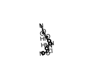 CN(C)CCCOC(=O)C=CC(=O)Nc1ccc2ncnc(Nc3ccc(C(=O)c4ccncc4)c(Cl)c3)c2c1